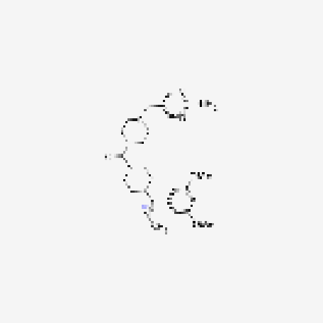 C/N=C(\c1cc(OC)cc(OC)c1)C1CCN(C(=O)C2CCN(Cc3cnc(N)nc3)CC2)CC1